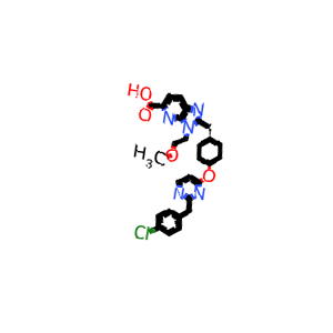 COCCn1c(C[C@H]2CC[C@H](Oc3ccnc(Cc4ccc(Cl)cc4)n3)CC2)nc2ccc(C(=O)O)nc21